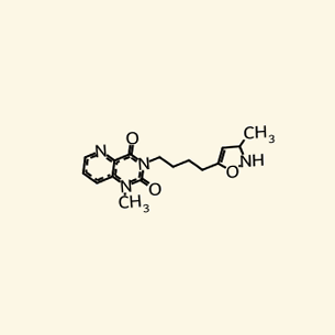 CC1C=C(CCCCn2c(=O)c3ncccc3n(C)c2=O)ON1